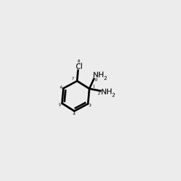 NC1(N)C=CC=CC1Cl